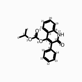 CC(C)OC(=O)Oc1c(-c2ccccc2)c(=O)[nH]c2ccccc12